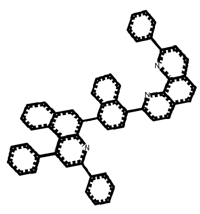 c1ccc(-c2cc(-c3ccccc3)c3c(n2)c(-c2ccc(-c4ccc5ccc6ccc(-c7ccccc7)nc6c5n4)c4ccccc24)cc2ccccc23)cc1